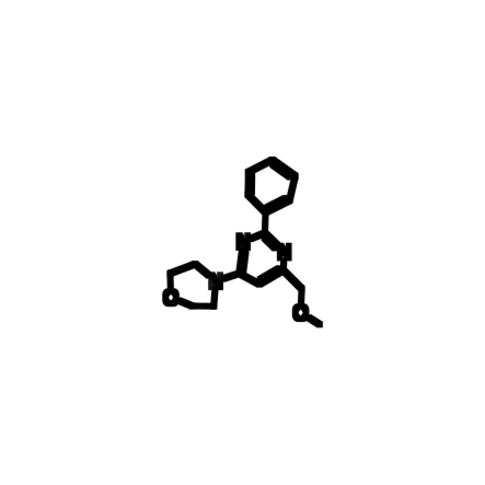 COCc1cc(N2CCOCC2)nc(-c2ccccc2)n1